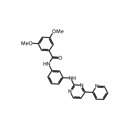 COc1cc(OC)cc(C(=O)Nc2cccc(Nc3nccc(-c4ccccn4)n3)c2)c1